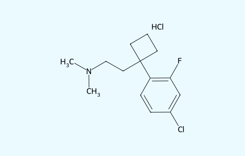 CN(C)CCC1(c2ccc(Cl)cc2F)CCC1.Cl